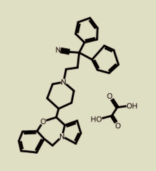 N#CC(CCN1CCC(C2Oc3ccccc3Cn3cccc32)CC1)(c1ccccc1)c1ccccc1.O=C(O)C(=O)O